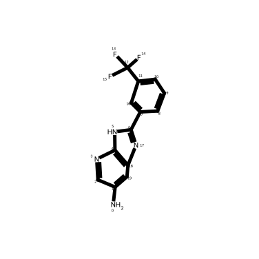 Nc1cnc2[nH]c(-c3cccc(C(F)(F)F)c3)nc2c1